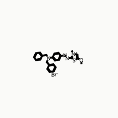 COc1c[n+](C)c(N=Nc2ccc(N(Cc3ccccc3)Cc3ccccc3)cc2)s1.[Br-]